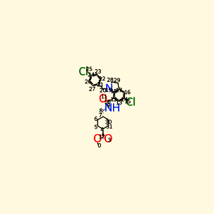 COC(=O)[C@H]1CC[C@H](CNC(=O)c2cc(Cl)cc3c2N(Cc2ccc(Cl)cc2)CC3)CC1